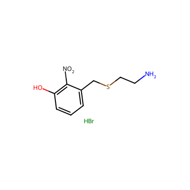 Br.NCCSCc1cccc(O)c1[N+](=O)[O-]